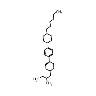 CCCCCC[C@H]1CC[C@H](c2ccc(C3=CCC(CC(C)CC)CC3)cc2)CC1